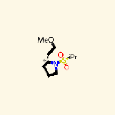 COCC[C@H]1C[CH]CN1S(=O)(=O)C(C)C